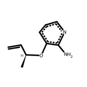 C=C[C@H](C)Oc1cccnc1N